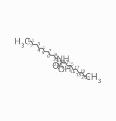 CCCCCCCCCCCNC(CCCCCCCCC)C(=O)O